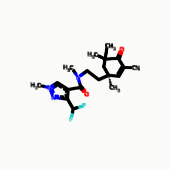 CN(CC[C@]1(C)C=C(C#N)C(=O)C(C)(C)C1)C(=O)c1cn(C)nc1C(F)F